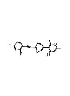 Cc1cc(=O)c(-c2ccc(C#Cc3ccc(F)cc3F)nc2)c(C)o1